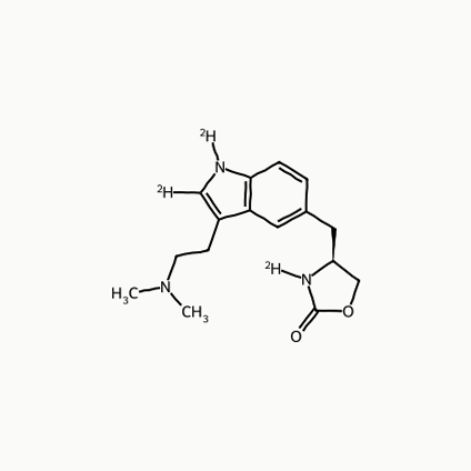 [2H]c1c(CCN(C)C)c2cc(C[C@H]3COC(=O)N3[2H])ccc2n1[2H]